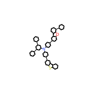 c1ccc(-c2cc(-c3ccccc3)cc(N(c3ccc(-c4ccc5oc6c(-c7ccccc7)cccc6c5c4)cc3)c3ccc(-c4ccc5sc6ccccc6c5c4)cc3)c2)cc1